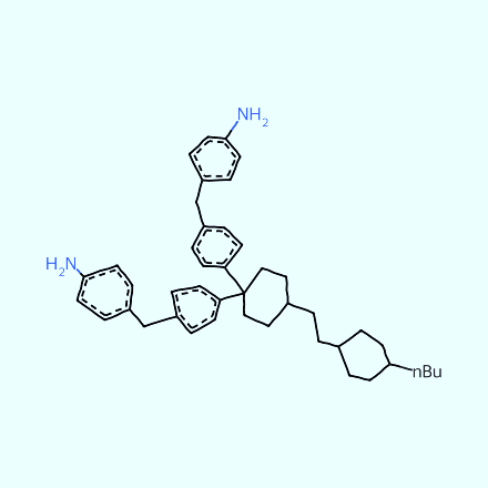 CCCCC1CCC(CCC2CCC(c3ccc(Cc4ccc(N)cc4)cc3)(c3ccc(Cc4ccc(N)cc4)cc3)CC2)CC1